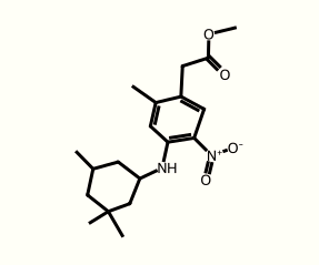 COC(=O)Cc1cc([N+](=O)[O-])c(NC2CC(C)CC(C)(C)C2)cc1C